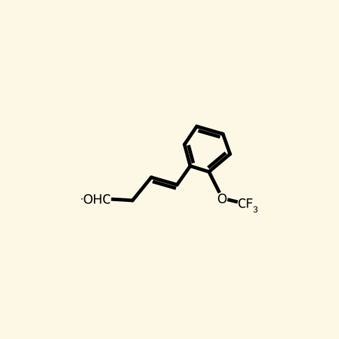 O=[C]CC=Cc1ccccc1OC(F)(F)F